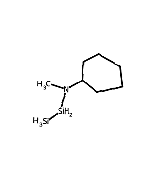 CN([SiH2][SiH3])C1CCCCC1